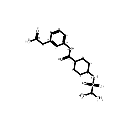 CC(C)S(=O)(=O)NC1CCC(C(=O)Nc2cccc(CC(=O)O)c2)CC1